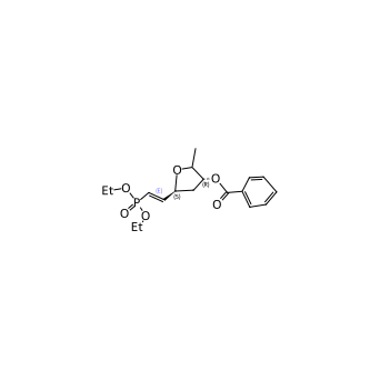 CCOP(=O)(/C=C/[C@@H]1C[C@@H](OC(=O)c2ccccc2)C(C)O1)OCC